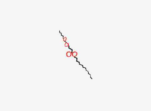 CCCCCCCCCCCCCCOC(=O)CCCOCCOCCCCCC